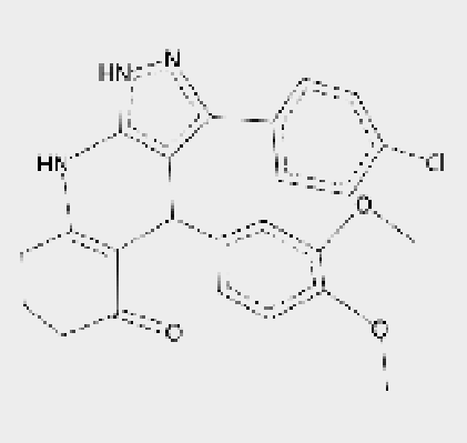 COc1ccc(C2C3=C(CCCC3=O)Nc3[nH]nc(-c4ccc(Cl)cc4)c32)cc1OC